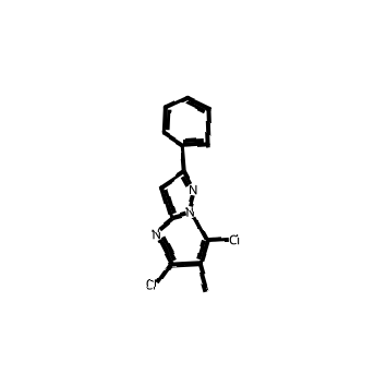 Cc1c(Cl)nc2cc(-c3ccccc3)nn2c1Cl